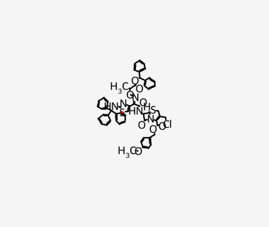 COc1ccc(COC(=O)C2=C(CCl)CS[C@@H]3C(NC(=O)/C(=N/OC(C)C(=O)OC(c4ccccc4)c4ccccc4)c4csc(NC(c5ccccc5)(c5ccccc5)c5ccccc5)n4)C(=O)N23)cc1